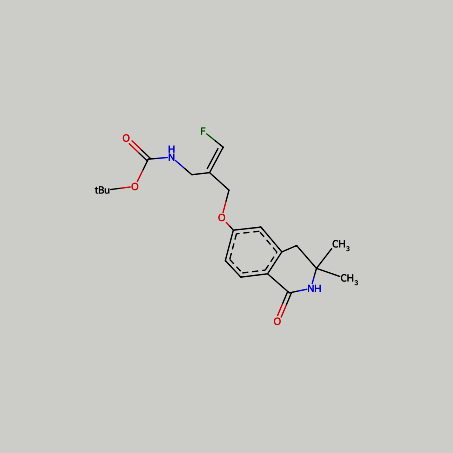 CC1(C)Cc2cc(OCC(=CF)CNC(=O)OC(C)(C)C)ccc2C(=O)N1